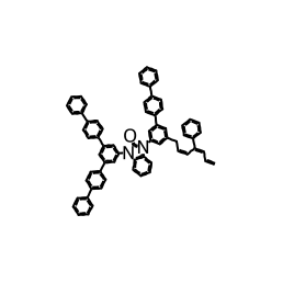 C=C/C=C(\C=C/Cc1cc(-c2ccc(-c3ccccc3)cc2)cc(-n2c(=O)n(-c3cc(-c4ccc(-c5ccccc5)cc4)cc(-c4ccc(-c5ccccc5)cc4)c3)c3ccccc32)c1)c1ccccc1